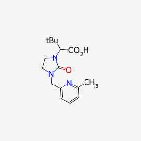 Cc1cccc(CN2CCN(C(C(=O)O)C(C)(C)C)C2=O)n1